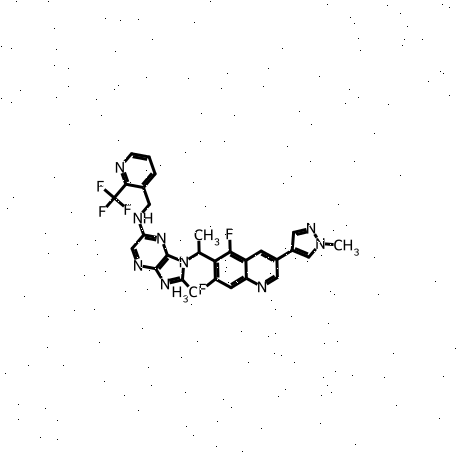 Cc1nc2ncc(NCc3cccnc3C(F)(F)F)nc2n1C(C)c1c(F)cc2ncc(-c3cnn(C)c3)cc2c1F